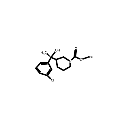 CC(C)(C)OC(=O)N1CCCC([C@@](C)(O)c2cccc(Cl)c2)C1